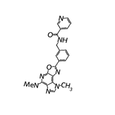 CNc1nc2oc(-c3cccc(CNC(=O)c4cccnc4)c3)nc2c2c1ncn2C